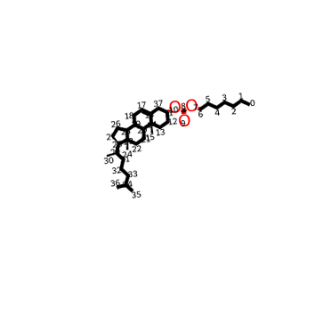 CCCCCCCOC(=O)OC1CC[C@@]2(C)C(=CCC3C2CC[C@@]2(C)C3CC[C@@H]2[C@H](C)CCCC(C)C)C1